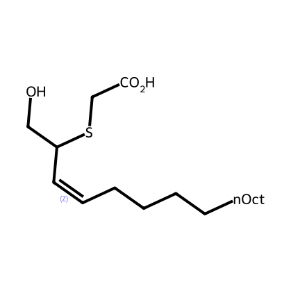 CCCCCCCCCCCC/C=C\C(CO)SCC(=O)O